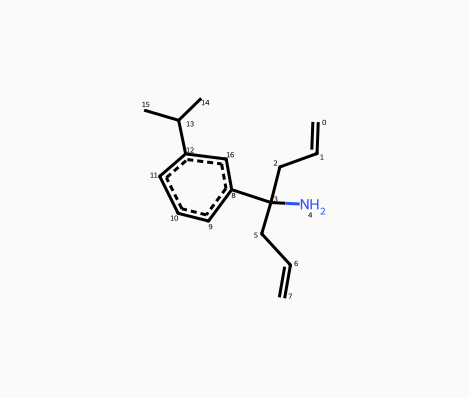 C=CCC(N)(CC=C)c1cccc(C(C)C)c1